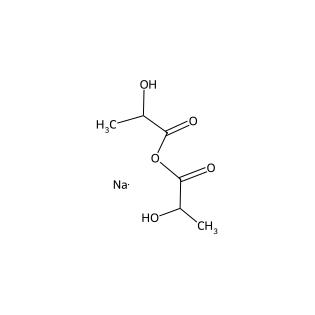 CC(O)C(=O)OC(=O)C(C)O.[Na]